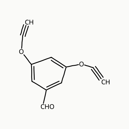 C#COc1cc(C=O)cc(OC#C)c1